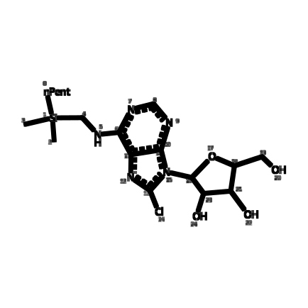 CCCCC[Si](C)(C)CNc1ncnc2c1nc(Cl)n2C1OC(CO)C(O)C1O